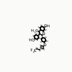 CC1=C(c2ccc(O)cc2)[C@@H](c2ccc(OC3CN(CCC(F)(F)F)C3)cc2)Oc2cc(O)ccc21